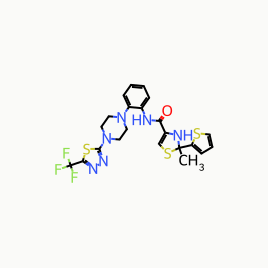 CC1(c2cccs2)NC(C(=O)Nc2ccccc2N2CCN(c3nnc(C(F)(F)F)s3)CC2)=CS1